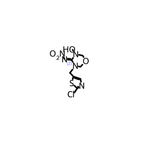 O=[N+]([O-])/N=C1\N(O)COCN1Cc1cnc(Cl)s1